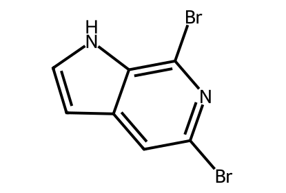 Brc1cc2cc[nH]c2c(Br)n1